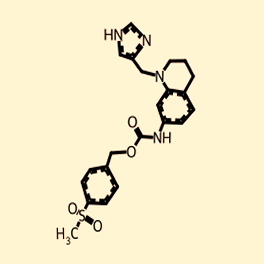 CS(=O)(=O)c1ccc(COC(=O)Nc2ccc3c(c2)N(Cc2c[nH]cn2)CCC3)cc1